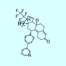 C[C@]12C[C@H](c3ccc(-c4cccnc4)cc3)C3=C4CCC(=O)C=C4CC[C@H]3[C@@H]1C=C[C@@]2(O)C(F)(F)C(F)(F)F